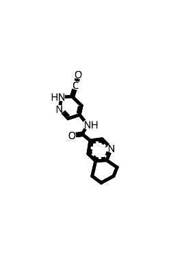 O=C=C1C=C(NC(=O)c2cnc3c(c2)CCCC3)C=NN1